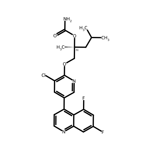 CC(C)C[C@@](C)(COc1ncc(-c2ccnc3cc(F)cc(F)c23)cc1Cl)OC(N)=O